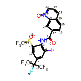 O=C(Nc1c(I)cc(C(F)(C(F)(F)F)C(F)(F)F)cc1[S+]([O-])C(F)(F)F)c1ccc2ccc[n+]([O-])c2c1